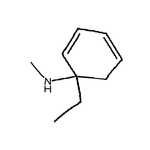 CCC1(NC)C=CC=CC1